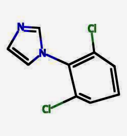 Clc1cccc(Cl)c1-n1ccnc1